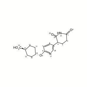 O=C1CCC(c2ccc(O[C@H]3CC[C@H](C(=O)O)CC3)nc2)C(=O)N1